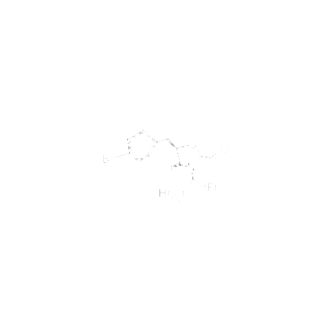 CC(C)C(C(=O)O)N1C(=O)/C(=C\c2ccc(Br)cc2)SC1[S+]=O